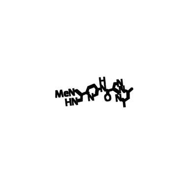 CN/C=C(\C=N)c1ccc(NC(=O)c2cnn3c(C)cc(C)nc23)cn1